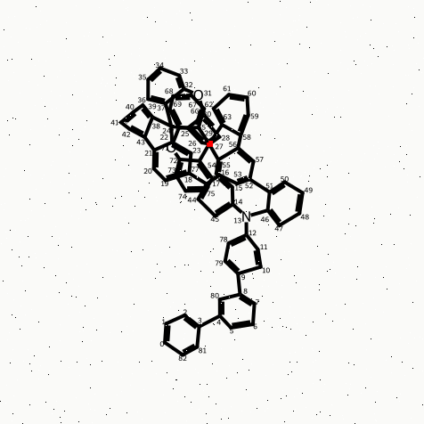 c1ccc(-c2cccc(-c3ccc(N(c4ccc(-c5ccc6c(c5)C5(c7ccccc7Oc7ccccc75)c5ccccc5-6)cc4)c4ccccc4-c4ccc5c(c4)-c4ccccc4C54c5ccccc5Oc5ccccc54)cc3)c2)cc1